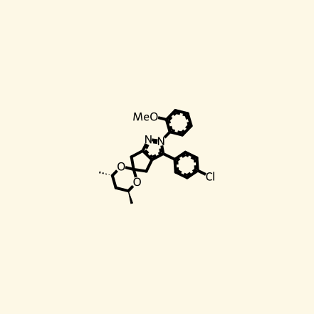 COc1ccccc1-n1nc2c(c1-c1ccc(Cl)cc1)CC1(C2)O[C@@H](C)C[C@H](C)O1